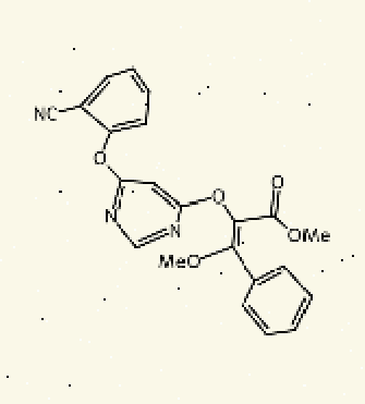 COC(=O)C(Oc1cc(Oc2ccccc2C#N)ncn1)=C(OC)c1ccccc1